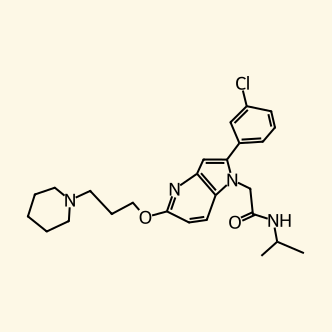 CC(C)NC(=O)Cn1c(-c2cccc(Cl)c2)cc2nc(OCCCN3CCCCC3)ccc21